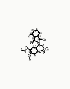 CCOc1cc(C(CS(C)(=O)=O)N2C(=O)c3cccc(C)c3C2=O)ccc1OC